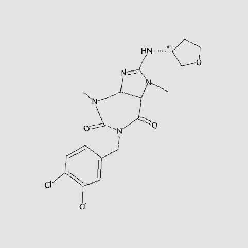 CN1C(=O)N(Cc2ccc(Cl)c(Cl)c2)C(=O)C2C1N=C(N[C@@H]1CCOC1)N2C